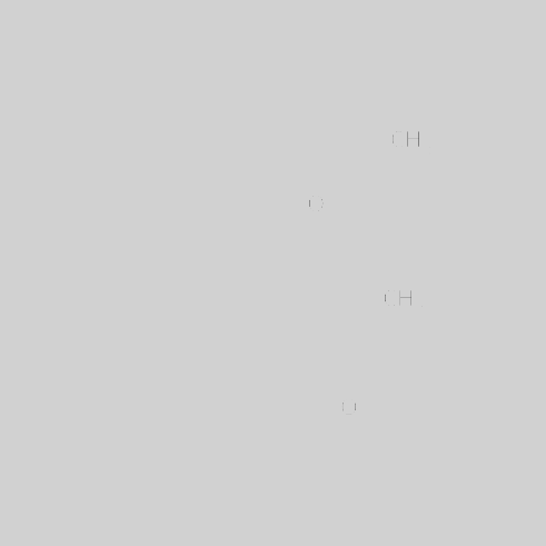 CCOC(c1ccccc1)C(C)C=O